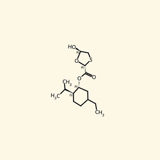 CCC1CC[C@@H](C(C)C)[C@H](OC(=O)[C@@H]2O[C@@H](O)CS2)C1